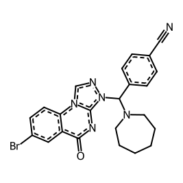 N#Cc1ccc(C(N2CCCCCC2)n2ncn3c4ccc(Br)cc4c(=O)nc23)cc1